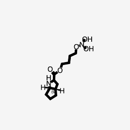 O=C(OCCCCON(O)O)C1C[C@@H]2CCC[C@@H]2N1